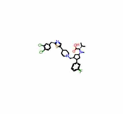 CC(C)[C@H](C(=O)O)N(C)C1CC(CN2CCC(c3cnc(Cc4ccc(Cl)c(Cl)c4)s3)CC2)C(c2cccc(F)c2)C1